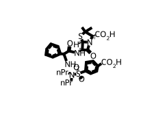 CC1(C)S[C@@H]2[C@H](NC(=O)C(N)c3ccccc3)C(=O)N2[C@H]1C(=O)O.CCCN(CCC)S(=O)(=O)c1ccc(C(=O)O)cc1